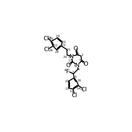 O=C1CC(=O)N(CC(F)c2ccc(Cl)c(Cl)c2)C(=O)N1CCc1ccc(Cl)c(Cl)c1